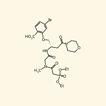 CCOP(=O)(CC(=O)N(C)CC(=O)N[C@H](COc1cc(Br)ccc1C(=O)O)CC(=O)N1CCOCC1)OCC